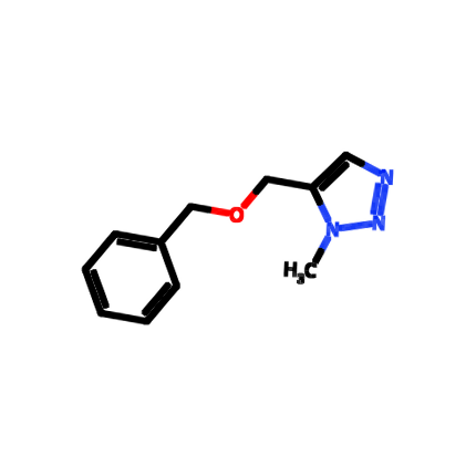 Cn1nncc1COCc1ccccc1